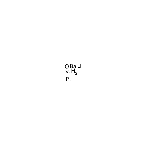 [BaH2].[O].[Pt].[U].[Y]